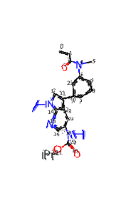 C=CC(=O)N(C)c1cccc(-c2c[nH]c3ncc(NC(=O)OC(C)C)cc23)c1